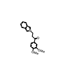 COc1ccc(C(=O)CCn2cc3ccccc3c2)cc1OC